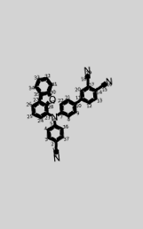 N#Cc1ccc(N(c2ccc(-c3ccc(C#N)c(C#N)c3)cc2)c2cccc3c2oc2ccccc23)cc1